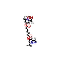 CC(C)C1CC(OC(=O)CCCCCC(=O)OC2CC(C(C)C)N(O)C(C)(C)C2)CC(C(C)C)N1